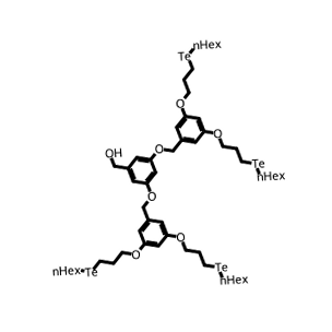 CCCCCC[Te]CCCOc1cc(COc2cc(CO)cc(OCc3cc(OCCC[Te]CCCCCC)cc(OCCC[Te]CCCCCC)c3)c2)cc(OCCC[Te]CCCCCC)c1